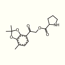 Cc1ccc(C(=O)COC(=O)C2CCCN2)c2c1OC(C)(C)O2